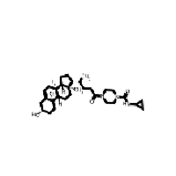 CC(CCC(=O)N1CCN(C(=O)NC2CC2)CC1)[C@H]1CC[C@H]2[C@@H]3CC=C4C[C@@H](O)CC[C@]4(C)[C@H]3CC[C@]12C